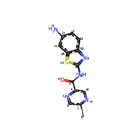 Cc1cnc(C(=O)Nc2nc3ccc(N)cc3s2)cn1